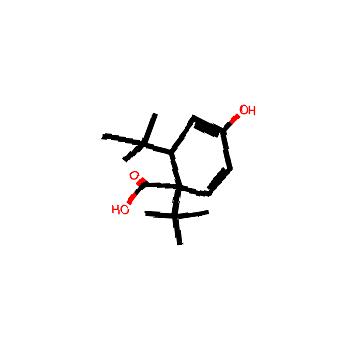 CC(C)(C)C1C=C(O)C=CC1(C(=O)O)C(C)(C)C